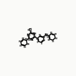 Clc1nc(-c2cccc(SC3=CCCC=C3)c2)nc(C2C=CC=CC2)n1